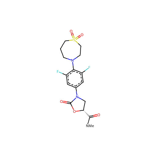 CNC(=O)[C@H]1CN(c2cc(F)c(N3CCCS(=O)(=O)CC3)c(F)c2)C(=O)O1